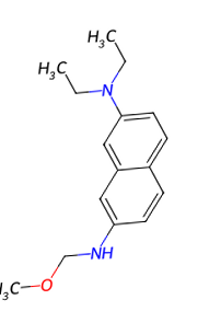 CCN(CC)c1ccc2ccc(NCOC)cc2c1